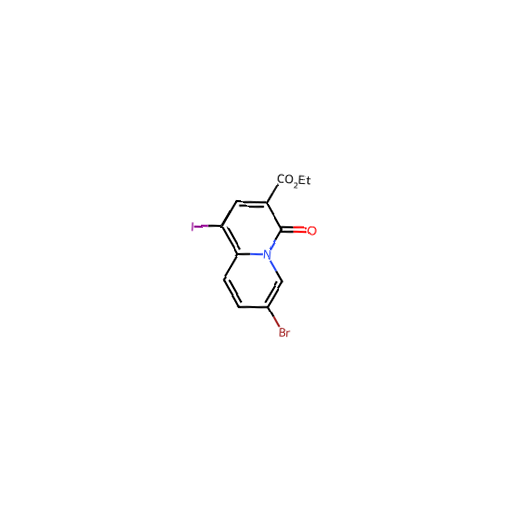 CCOC(=O)c1cc(I)c2ccc(Br)cn2c1=O